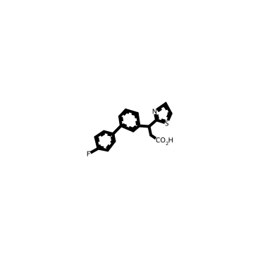 O=C(O)CC(c1cccc(-c2ccc(F)cc2)c1)c1nccs1